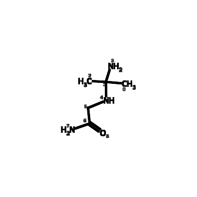 CC(C)(N)NCC(N)=O